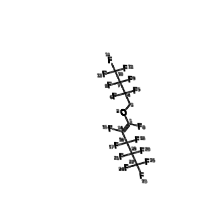 FC(OCC(F)(F)C(F)(F)C(F)(F)F)=C(F)C(F)(F)C(F)(F)C(F)(F)F